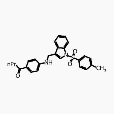 CCCC(=O)c1ccc(NCc2cn(S(=O)(=O)c3ccc(C)cc3)c3ccccc23)cc1